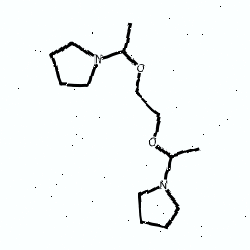 CC(OCCOC(C)N1CCCC1)N1CCCC1